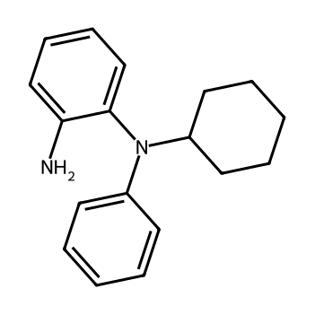 Nc1ccccc1N(c1ccccc1)C1CCCCC1